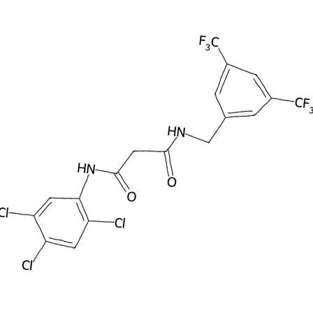 O=C(CC(=O)Nc1cc(Cl)c(Cl)cc1Cl)NCc1cc(C(F)(F)F)cc(C(F)(F)F)c1